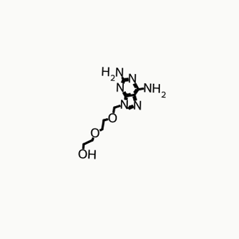 Nc1nc(N)c2ncn(COCCOCCO)c2n1